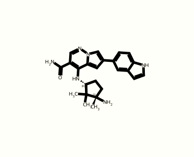 CC1(C)[C@H](Nc2c(C(N)=O)cnn3cc(-c4ccc5[nH]ccc5c4)cc23)CC[C@]1(C)N